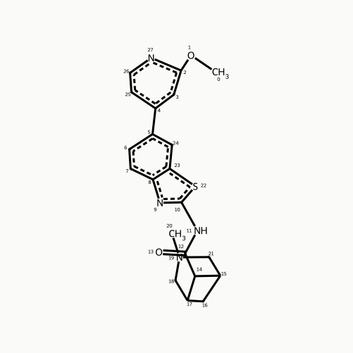 COc1cc(-c2ccc3nc(NC(=O)C4C5CC4CN(C)C5)sc3c2)ccn1